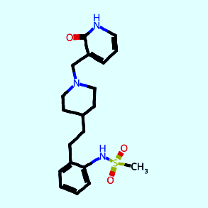 CS(=O)(=O)Nc1ccccc1CCC1CCN(Cc2ccc[nH]c2=O)CC1